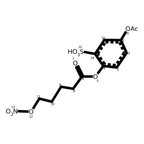 CC(=O)Oc1ccc(OC(=O)CCCCO[N+](=O)[O-])c(S(=O)(=O)O)c1